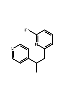 CC(C)c1cccc(CC(C)c2ccncc2)n1